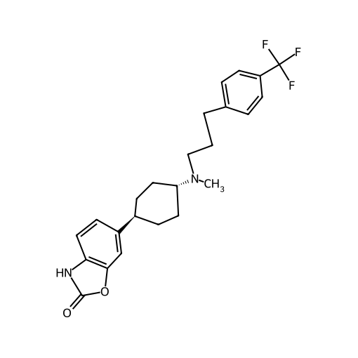 CN(CCCc1ccc(C(F)(F)F)cc1)[C@H]1CC[C@H](c2ccc3[nH]c(=O)oc3c2)CC1